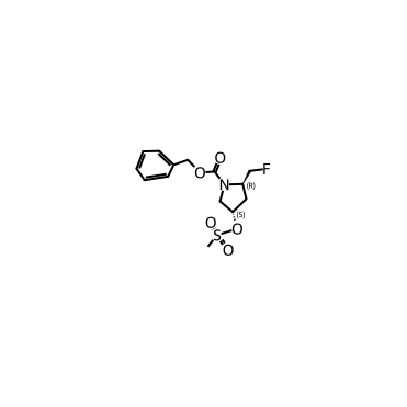 CS(=O)(=O)O[C@H]1C[C@H](CF)N(C(=O)OCc2ccccc2)C1